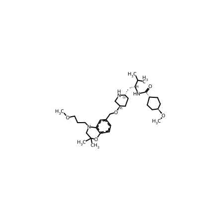 COCCCN1CC(C)(C)Oc2ccc(CO[C@@H]3CC[C@@H](C[C@@H](NC(=O)[C@H]4CC[C@H](OC)CC4)C(C)C)NC3)cc21